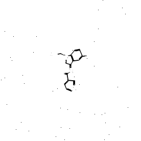 CC(=O)CN1CC(=NC(=O)c2cccnc2)c2cc(Cl)ccc21